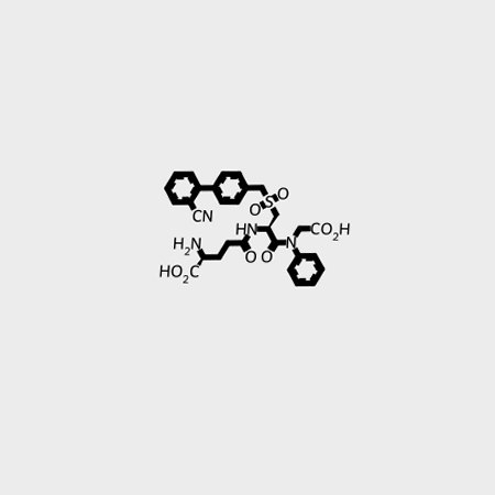 N#Cc1ccccc1-c1ccc(CS(=O)(=O)C[C@H](NC(=O)CC[C@H](N)C(=O)O)C(=O)N(CC(=O)O)c2ccccc2)cc1